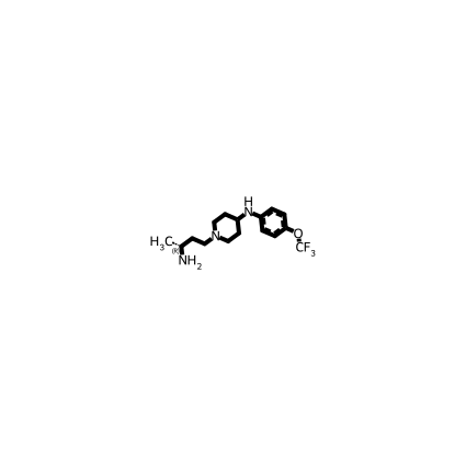 C[C@@H](N)CCN1CCC(Nc2ccc(OC(F)(F)F)cc2)CC1